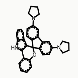 c1ccc2c(c1)OC1(c3ccc(N4CCCC4)cc3-c3cc(N4CCCC4)ccc31)c1c-2[nH]c2ccccc12